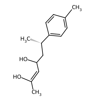 C/C(O)=C/C(O)C[C@H](C)c1ccc(C)cc1